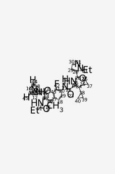 CCC(=O)N[C@@H](C(=O)N1C[C@H]2C[C@@H](C1)N2C)[C@@H](C)c1ccc(NC(=O)[C@@H](NC(=O)c2ccnn2CC)C(C2CC2)C2CC2)c(F)c1